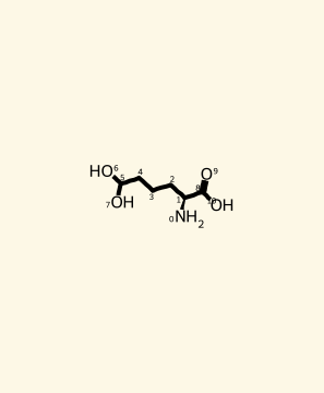 N[C@@H](CCCC(O)O)C(=O)O